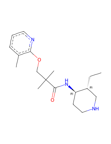 CC[C@@H]1CNCC[C@H]1NC(=O)C(C)(C)COc1ncccc1C